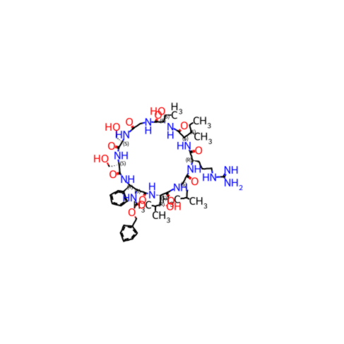 CC[C@H](C)[C@@H]1NC(=O)[C@@H](CCCNC(=N)N)NC(=O)[C@H](CC(C)C)NC(=O)[C@H]([C@H](O)C(C)C)NC(=O)[C@@H](NC(=O)OCc2ccccc2)[C@@H](c2ccccc2)NC(=O)[C@H](CO)NC(=O)[C@H](CO)NC(=O)CNC(=O)[C@H]([C@H](C)O)NC1=O